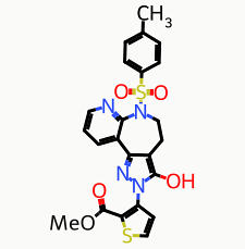 COC(=O)c1sccc1-n1nc2c(c1O)CCN(S(=O)(=O)c1ccc(C)cc1)c1ncccc1-2